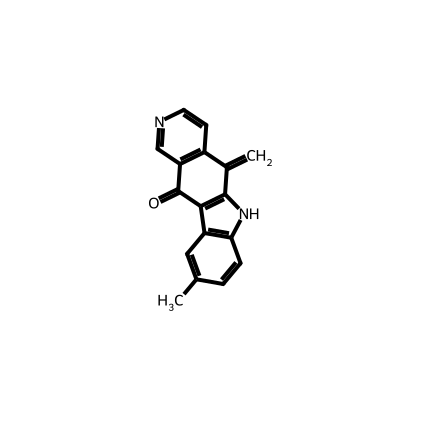 C=C1c2ccncc2C(=O)c2c1[nH]c1ccc(C)cc21